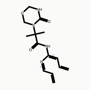 C=C/C=N\C(=C/C=C)NC(=O)C(C)(C)N1COCNC1=O